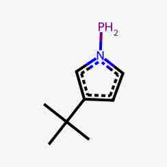 CC(C)(C)c1ccn(P)c1